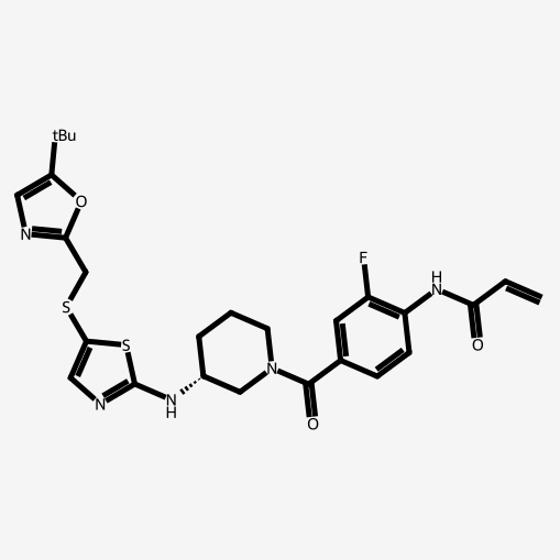 C=CC(=O)Nc1ccc(C(=O)N2CCC[C@@H](Nc3ncc(SCc4ncc(C(C)(C)C)o4)s3)C2)cc1F